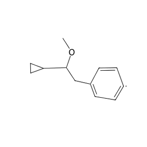 COC(Cc1cc[c]cc1)C1CC1